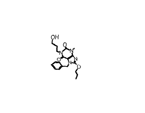 CCCOc1nc2c(c(=O)n(CCCO)c(=O)n2C)n1Cc1ccccc1